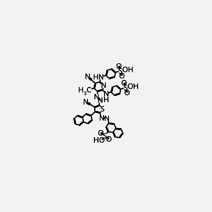 Cc1c(C#N)c(Nc2ccc(S(=O)(=O)O)cc2)nc(Nc2ccc(S(=O)(=O)O)cc2)c1/N=N/c1sc(/N=N/c2cc(S(=O)(=O)O)c3ccccc3c2)c(-c2ccc3ccccc3c2)c1C#N